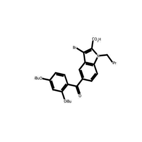 CC(C)COc1ccc(C(=O)c2ccc3c(c2)c(Br)c(C(=O)O)n3CC(C)C)c(OCC(C)C)c1